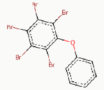 Brc1c(Br)c(Br)c(Oc2ccccc2)c(Br)c1Br